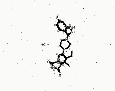 CCc1c(N2CCN(c3n[nH]c4cc(F)ccc34)CC2)cc2c(c1C)C(=O)NC2=O.Cl